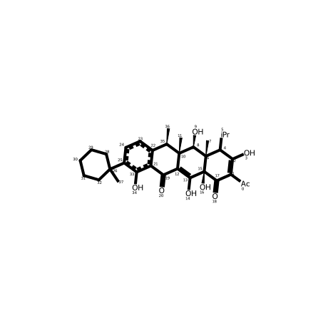 CC(=O)C1=C(O)C(C(C)C)[C@@]2(C)[C@H](O)[C@]3(C)C(=C(O)[C@@]2(O)C1=O)C(=O)c1c(ccc(C2(C)CCCCC2)c1O)[C@H]3C